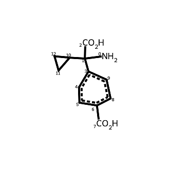 NC(C(=O)O)(c1ccc(C(=O)O)cc1)C1CC1